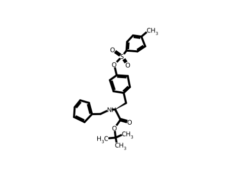 Cc1ccc(S(=O)(=O)Oc2ccc(C[C@H](NCc3ccccc3)C(=O)OC(C)(C)C)cc2)cc1